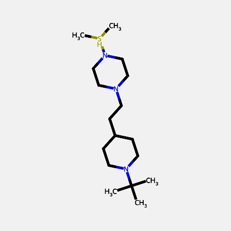 C[SH](C)N1CCN(CCC2CCN(C(C)(C)C)CC2)CC1